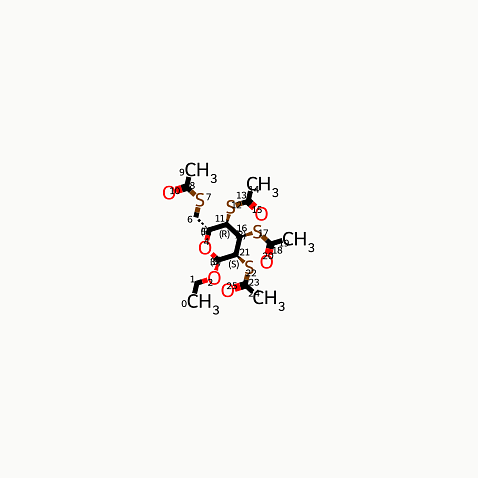 CCO[C@H]1O[C@H](CSC(C)=O)[C@@H](SC(C)=O)[C@@H](SC(C)=O)[C@H]1SC(C)=O